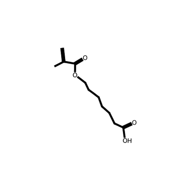 C=C(C)C(=O)OCCCCCCC(=O)O